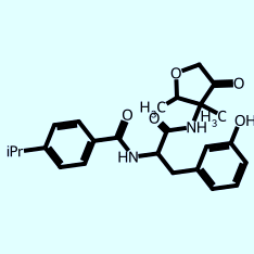 CC(C)c1ccc(C(=O)NC(Cc2cccc(O)c2)C(=O)NC2(C)C(=O)COC2C)cc1